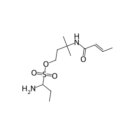 CC=CC(=O)NC(C)(C)CCOS(=O)(=O)C(N)CC